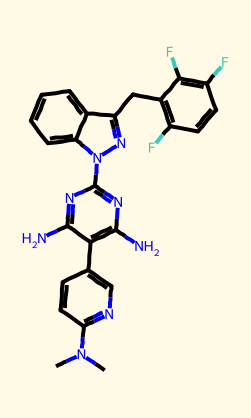 CN(C)c1ccc(-c2c(N)nc(-n3nc(Cc4c(F)ccc(F)c4F)c4ccccc43)nc2N)cn1